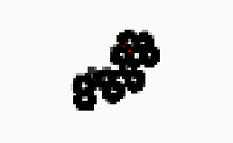 c1ccc2c(c1)ccc1cccc(-c3c4ccccc4c(-c4cc5oc6ccc7ccccc7c6c5c5ccccc45)c4ccccc34)c12